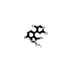 CC(C)c1c2c(-c3cc(Cl)ncc3Cl)ccc(F)c2nn1C